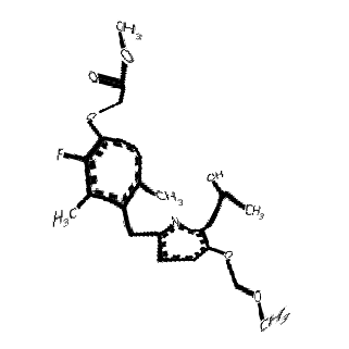 COCOc1ccc(Cc2c(C)cc(OCC(=O)OC)c(F)c2C)nc1C(C)O